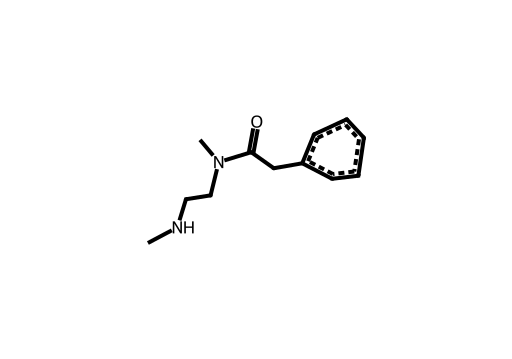 CNCCN(C)C(=O)Cc1ccccc1